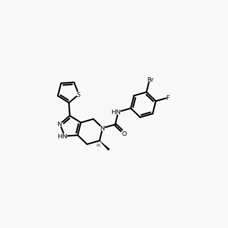 C[C@H]1Cc2[nH]nc(-c3cccs3)c2CN1C(=O)Nc1ccc(F)c(Br)c1